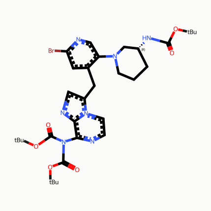 CC(C)(C)OC(=O)N[C@@H]1CCCN(c2cnc(Br)cc2Cc2cnc3c(N(C(=O)OC(C)(C)C)C(=O)OC(C)(C)C)nccn23)C1